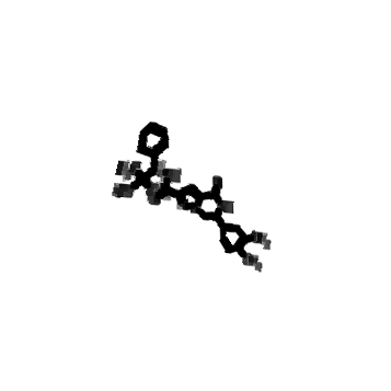 Cc1ccc(-c2cn3nc(C(=O)N[C@@H](c4ccccc4)C(C)(C)O)cc3c(=O)[nH]2)cc1C